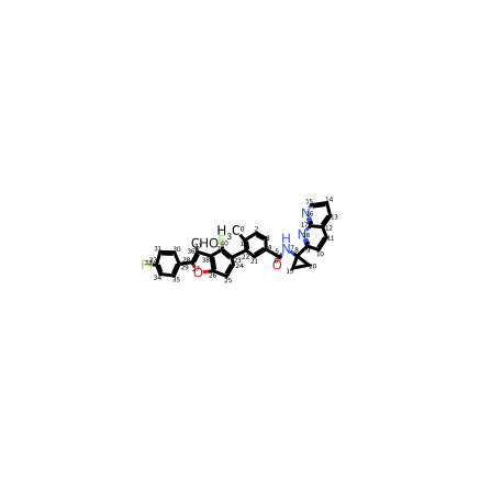 Cc1ccc(C(=O)NC2(c3ccc4cccnc4n3)CC2)cc1-c1ccc2oc(-c3ccc(F)cc3)c(C=O)c2c1F